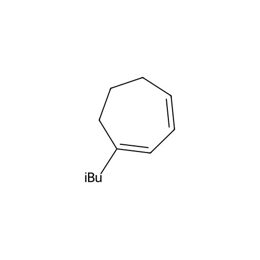 CCC(C)C1=CC=CCCC1